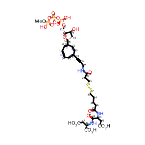 COP(=O)(O)OP(=O)(O)OP(=O)(O)OC[C@H]1O[C@@H](C2=C/C=C\C=C(C#CCNC(=O)CCSSCCCCC(=O)NC(CC(=O)O)C(=O)NC(CC(=O)O)C(=O)O)/C=C\2)CC1O